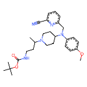 COc1ccc(N(Cc2cccc(C#N)n2)C2CCN(C(C)CCNC(=O)OC(C)(C)C)CC2)cc1